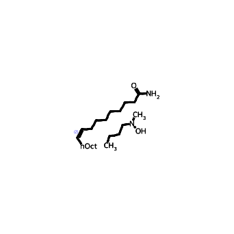 CCCCCCCC/C=C\CCCCCCCC(N)=O.CCCCN(C)O